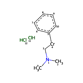 CN(C)[CH2][Cr][c]1ccccc1.Cl.Cl